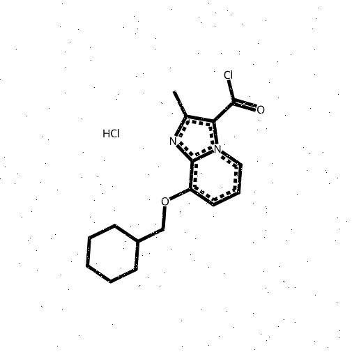 Cc1nc2c(OCC3CCCCC3)cccn2c1C(=O)Cl.Cl